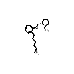 C=CCCCCc1ncccc1OC[C@@H]1CCCN1C